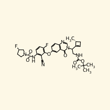 C[C@@H]1CC=C1C(CNC(=O)OC(C)(C)C)n1cnc2ccc(Oc3c(F)ccc(NS(=O)(=O)N4CC[C@@H](F)C4)c3C#N)cc2c1=O